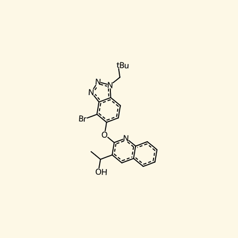 CC(O)c1cc2ccccc2nc1Oc1ccc2c(nnn2CC(C)(C)C)c1Br